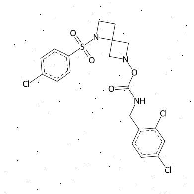 O=C(NCc1ccc(Cl)cc1Cl)ON1CC2(CCN2S(=O)(=O)c2ccc(Cl)cc2)C1